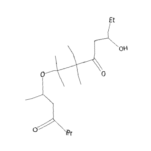 CCC(O)CC(=O)C(C)(C)C(C)(C)OC(C)CC(=O)C(C)C